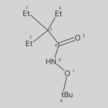 CCC(CC)(CC)C(=O)NOC(C)(C)C